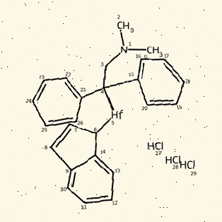 CN(C)C[C]([Hf][CH]1C=Cc2ccccc21)(c1ccccc1)c1ccccc1.Cl.Cl.Cl